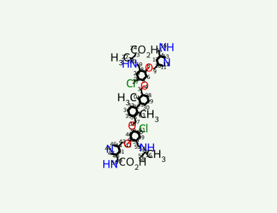 Cc1c(COc2cc(OCc3cncc(C=N)c3)c(CNC(C)CC(=O)O)cc2Cl)cccc1-c1cccc(COc2cc(OCc3cncc(C=N)c3)c(CNC(C)CC(=O)O)cc2Cl)c1C